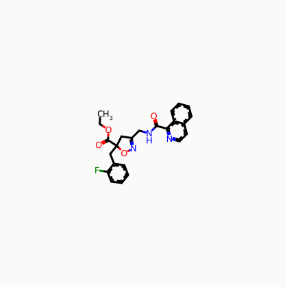 CCOC(=O)C1(Cc2ccccc2F)CC(CNC(=O)c2nccc3ccccc23)=NO1